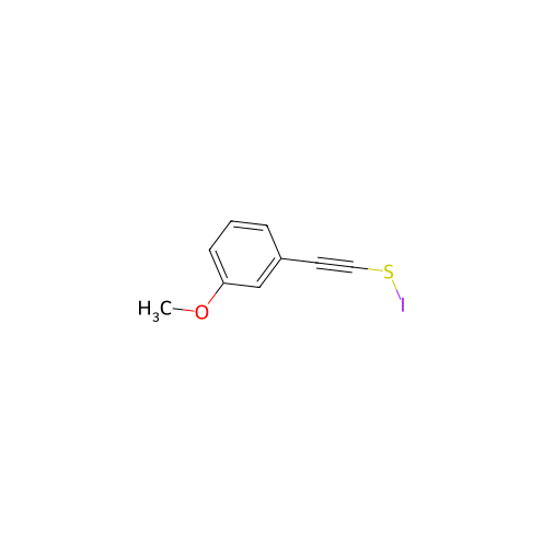 COc1cccc(C#CSI)c1